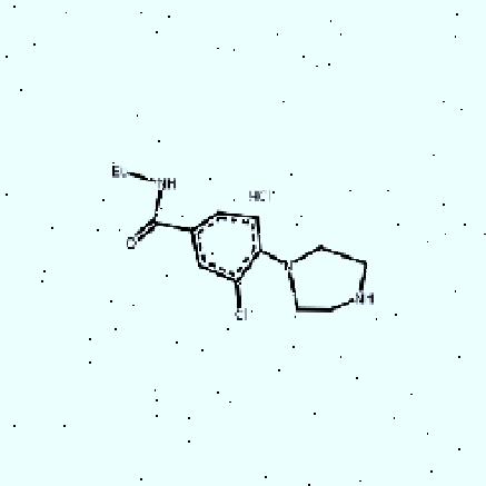 CCNC(=O)c1ccc(N2CCNCC2)c(Cl)c1.Cl